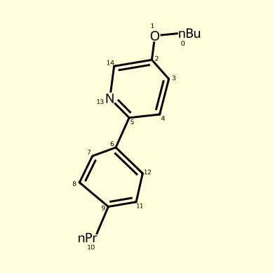 CCCCOc1ccc(-c2ccc(CCC)cc2)nc1